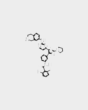 CN1CCc2ccc(Nc3nccc(-c4sc(N5CCCC5)nc4-c4cccc(NC(=O)c5c(F)cccc5F)c4)n3)cc2C1